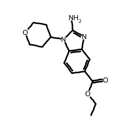 CCOC(=O)c1ccc2c(c1)nc(N)n2C1CCOCC1